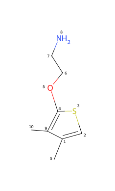 Cc1csc(OCCN)c1C